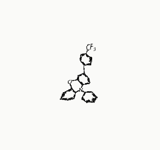 FC(F)(F)c1ccc(-c2ccc3c(c2)Oc2ccccc2N3c2ccccc2)cc1